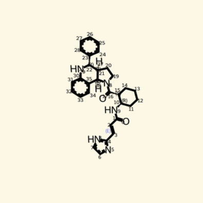 O=C(/C=C/c1ncc[nH]1)N[C@@H]1CCCC[C@@H]1C(=O)N1CC[C@@H]2[C@H](c3ccccc3)Nc3ccccc3[C@@H]21